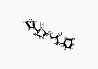 O=C(CSc1nnc(-c2ccoc2)[nH]1)Nc1ccccc1